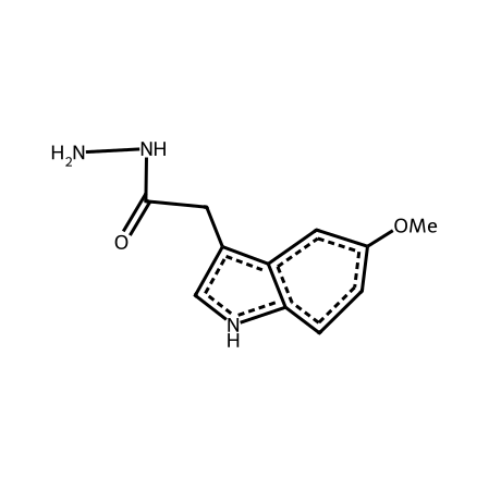 COc1ccc2[nH]cc(CC(=O)NN)c2c1